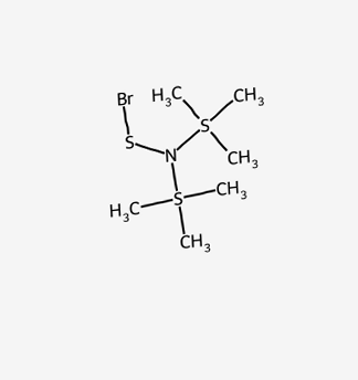 CS(C)(C)N(SBr)S(C)(C)C